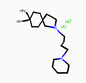 CCCC1(CCC)CCC2(CCN(CCCN3CCCCC3)C2)CC1.Cl.Cl